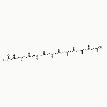 CNCCNCCNCCNCCNCCNCCNCCNCCNCCNCCNCCNCC(=O)O